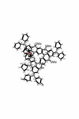 CSN1c2cc3c(cc2B2c4sc5ccccc5c4Oc4cc(N(c5ccccc5)c5ccccc5)cc1c42)B1c2cc4c(cc2N(SC)c2cc(N(c5ccccc5)c5ccccc5)cc(c21)N3SC)Nc1cc(N(c2ccc(C)cc2)c2ccc(C)cc2)cc2c1B4c1sc3ccccc3c1N2c1ccccc1